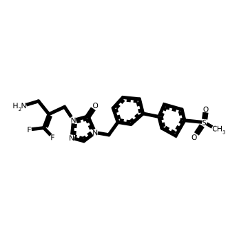 CS(=O)(=O)c1ccc(-c2cccc(Cn3cnn(CC(CN)=C(F)F)c3=O)c2)cc1